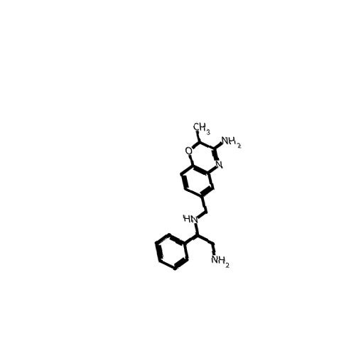 CC1Oc2ccc(CNC(CN)c3ccccc3)cc2N=C1N